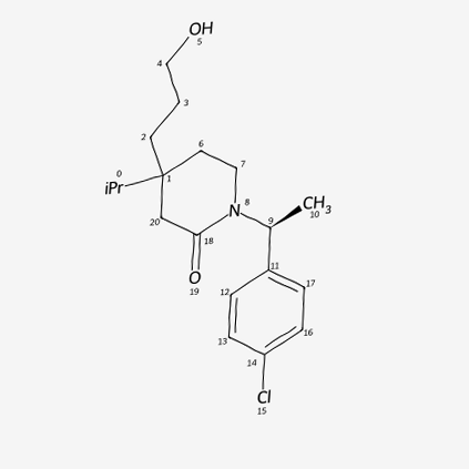 CC(C)C1(CCCO)CCN([C@@H](C)c2ccc(Cl)cc2)C(=O)C1